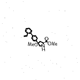 C=Cc1ccccc1-c1ccc([C@@]2(OC)CN[C@H](C(=O)OC)C2)cc1